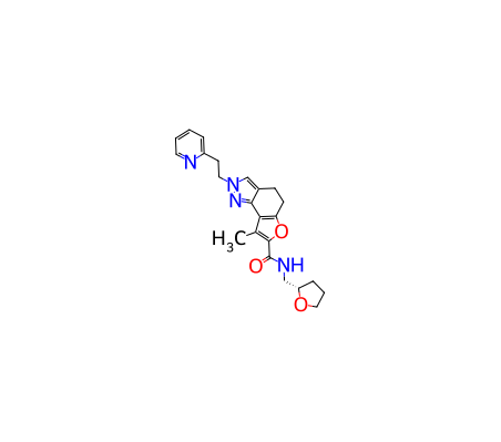 Cc1c(C(=O)NC[C@@H]2CCCO2)oc2c1-c1nn(CCc3ccccn3)cc1CC2